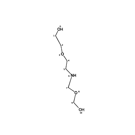 OCCOCCNCOCO